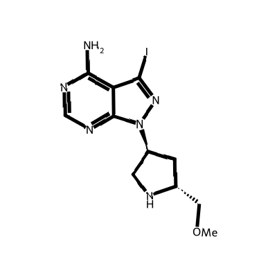 COC[C@H]1C[C@H](n2nc(I)c3c(N)ncnc32)CN1